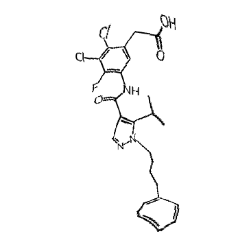 CC(C)c1c(C(=O)Nc2cc(CC(=O)O)c(Cl)c(Cl)c2F)cnn1CCCc1ccccc1